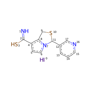 I.N=C(S)c1ccn2c1CSC2c1cccnc1